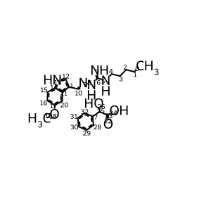 CCCCCNC(=N)N/N=C/c1c[nH]c2ccc(OC)cc12.O=C(O)C(O)c1ccccc1